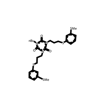 CCCCn1c(=O)n(CCCSc2cccc(SC)c2)c(=O)n(CCCSc2cccc(SC)c2)c1=O